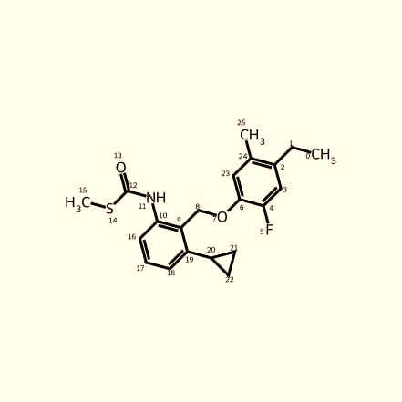 CCc1cc(F)c(OCc2c(NC(=O)SC)cccc2C2CC2)cc1C